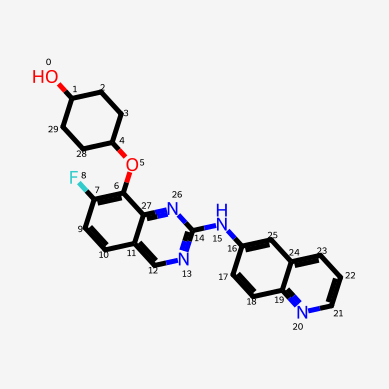 OC1CCC(Oc2c(F)ccc3cnc(Nc4ccc5ncccc5c4)nc23)CC1